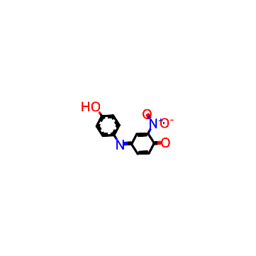 O=C1C=CC(=Nc2ccc(O)cc2)C=C1[N+](=O)[O-]